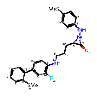 CSc1ccc(NN2C(=O)C2CCCNc2ccc(-c3ccccc3SC)cc2F)cc1